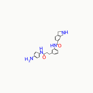 Nc1ccc(NC(=O)CCc2cccc(NC(=O)c3ccc4c(c3)CNCC4)c2)cc1